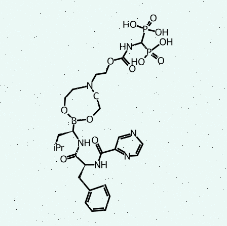 CC(C)C[C@H](NC(=O)[C@H](Cc1ccccc1)NC(=O)c1cnccn1)B1OCCN(CCOC(=O)NC(P(=O)(O)O)P(=O)(O)O)CCO1